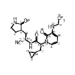 N#C[C@H](CC1CCNC1=O)NC(=O)[C@H](CC1CC1)n1cccc(NCC(F)(F)F)c1=O